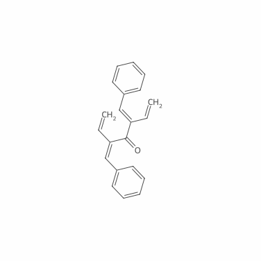 C=CC(=Cc1ccccc1)C(=O)C(C=C)=Cc1ccccc1